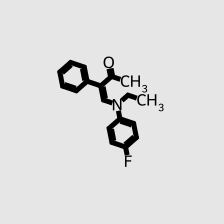 CCN(/C=C(\C(C)=O)c1ccccc1)c1ccc(F)cc1